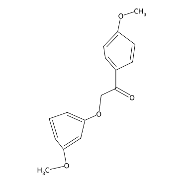 COc1ccc(C(=O)COc2cccc(OC)c2)cc1